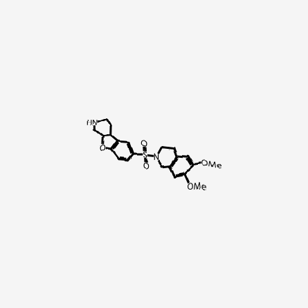 COc1cc2c(cc1OC)CN(S(=O)(=O)c1ccc3c(c1)C1CCNCC1O3)CC2